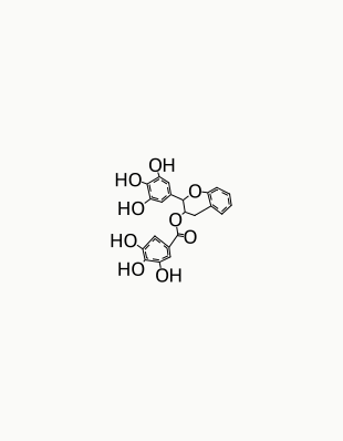 O=C(OC1Cc2ccccc2OC1c1cc(O)c(O)c(O)c1)c1cc(O)c(O)c(O)c1